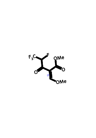 CO/C=C(\C(=O)OC)C(=O)C(F)C(F)(F)F